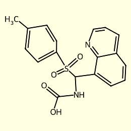 Cc1ccc(S(=O)(=O)C(NC(=O)O)c2cccc3cccnc23)cc1